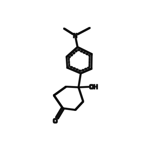 CN(C)c1ccc(C2(O)CCC(=O)CC2)cc1